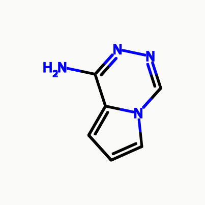 Nc1nncn2cccc12